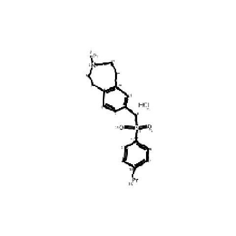 CCCN1CCc2ccc(CS(=O)(=O)c3ccc(C(C)C)cc3)cc2CC1.Cl